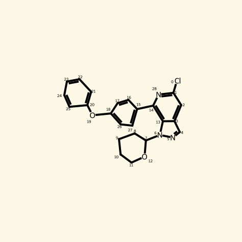 Clc1cc2cnn(C3CCCCO3)c2c(-c2ccc(Oc3ccccc3)cc2)n1